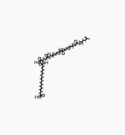 CC(C)CCCCNC(=O)COCCOCCNC(=O)COCCOCCNC(=O)CCC(NC(=O)CCCCCCCCCCCCCCCCC(=O)O)C(=O)O